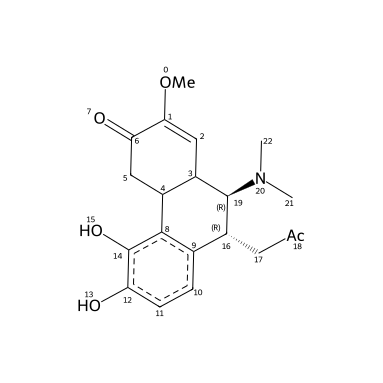 COC1=CC2C(CC1=O)c1c(ccc(O)c1O)[C@@H](CC(C)=O)[C@@H]2N(C)C